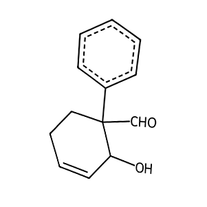 O=CC1(c2ccccc2)CCC=CC1O